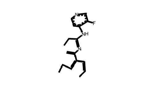 C=C(/N=C(\CC)Nc1ccncc1F)C(/C=C\C)=C\CC